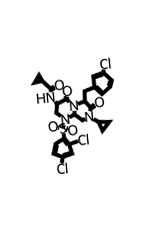 O=C(NC1CN(S(=O)(=O)c2ccc(Cl)cc2Cl)C2CN(C3CC3)C(=O)C(Cc3cccc(Cl)c3)N2C1=O)C1CC1